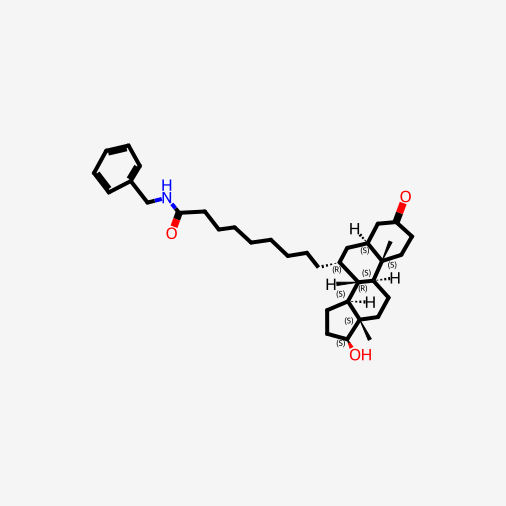 C[C@]12CCC(=O)C[C@@H]1C[C@@H](CCCCCCCCC(=O)NCc1ccccc1)[C@@H]1[C@@H]2CC[C@]2(C)[C@@H](O)CC[C@@H]12